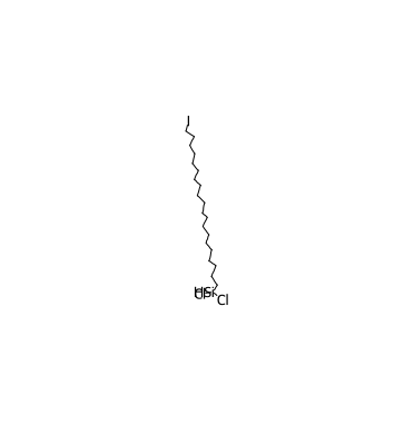 Cl[SiH](Cl)CCCCCCCCCCCCCCCCCCCCI